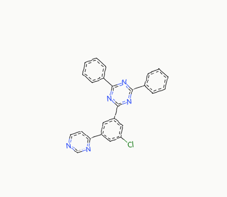 Clc1cc(-c2ccncn2)cc(-c2nc(-c3ccccc3)nc(-c3ccccc3)n2)c1